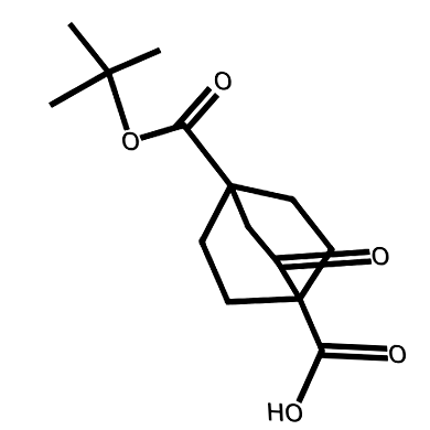 CC(C)(C)OC(=O)C12CCC(C(=O)O)(CC1)C(=O)C2